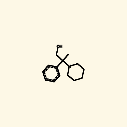 CC(CO)(c1ccccc1)N1CCCCC1